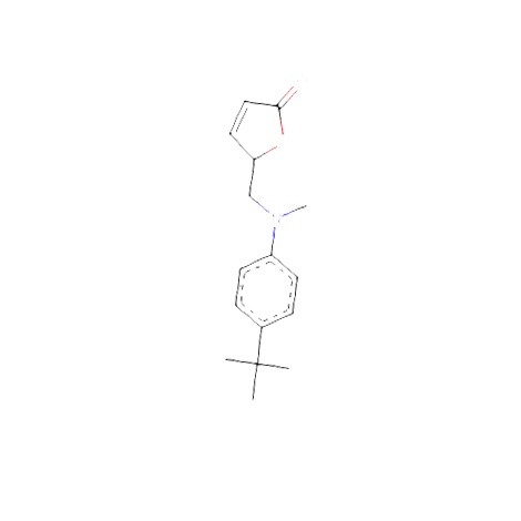 CN(CC1C=CC(=O)O1)c1ccc(C(C)(C)C)cc1